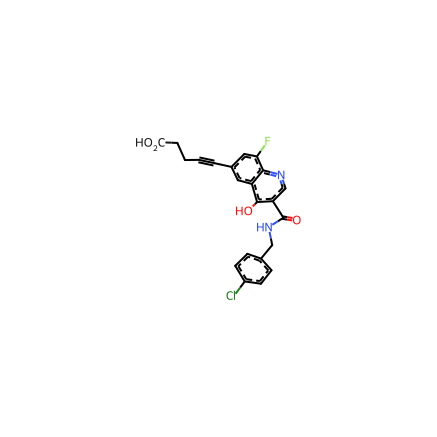 O=C(O)CCC#Cc1cc(F)c2ncc(C(=O)NCc3ccc(Cl)cc3)c(O)c2c1